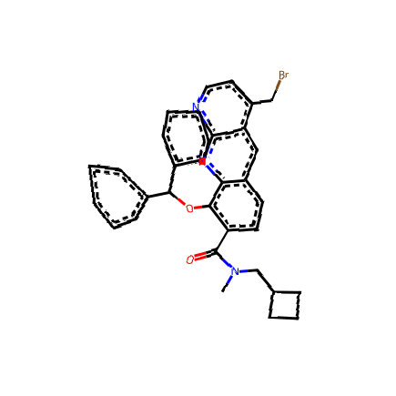 CN(CC1CCC1)C(=O)c1ccc2cc3c(CBr)ccnc3nc2c1OC(c1ccccc1)c1ccccc1